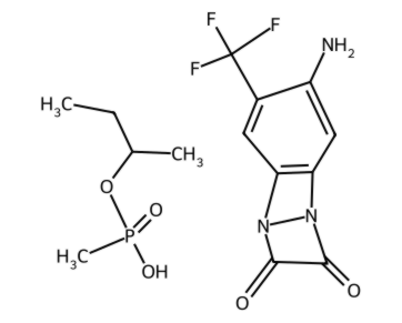 CCC(C)OP(C)(=O)O.Nc1cc2c(cc1C(F)(F)F)n1c(=O)c(=O)n21